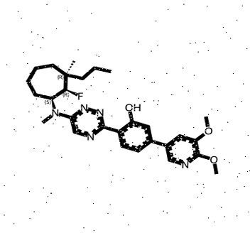 CCC[C@]1(C)CCCC[C@H](N(C)c2cnc(-c3ccc(-c4cnc(OC)c(OC)c4)cc3O)nn2)[C@@H]1F